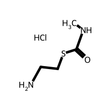 CNC(=O)SCCN.Cl